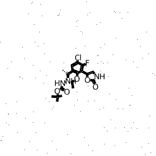 CCOc1c([C@@H](C)NNC(=O)OC(C)(C)C)cc(Cl)c(F)c1C1CNC(=O)O1